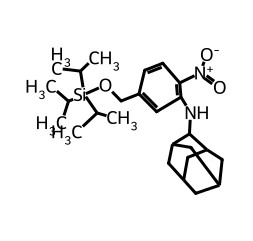 CC(C)[Si](OCc1ccc([N+](=O)[O-])c(NC2C3CC4CC(C3)CC2C4)c1)(C(C)C)C(C)C